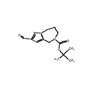 CC(C)(C)OC(=O)N1CCCn2nc(C=O)cc2C1